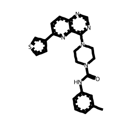 Cc1cccc(NC(=O)N2CCN(c3ncnc4ccc(-c5ccsc5)nc34)CC2)c1